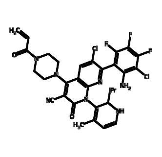 C=CC(=O)N1CCN(c2c(C#N)c(=O)n(C3=C(C)C=CNC3C(C)C)c3nc(-c4c(N)c(Cl)c(F)c(F)c4F)c(Cl)cc23)CC1